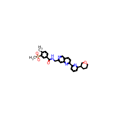 Cc1ccc(C(=O)NCc2cc3nc(-c4cccc(C5CCCOC5)n4)ccc3cn2)cc1S(C)(=O)=O